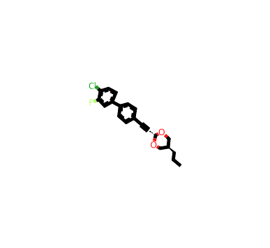 CCC[C@H]1CO[C@H](C#Cc2ccc(-c3ccc(Cl)c(F)c3)cc2)OC1